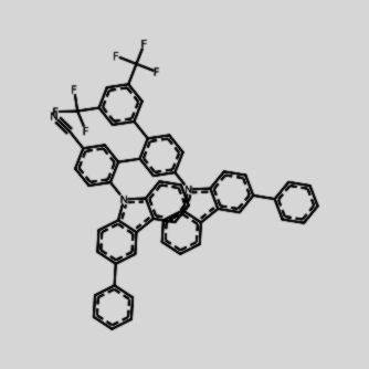 N#Cc1ccc(-n2c3ccccc3c3cc(-c4ccccc4)ccc32)c(-c2cc(-n3c4ccccc4c4cc(-c5ccccc5)ccc43)ccc2-c2cc(C(F)(F)F)cc(C(F)(F)F)c2)c1